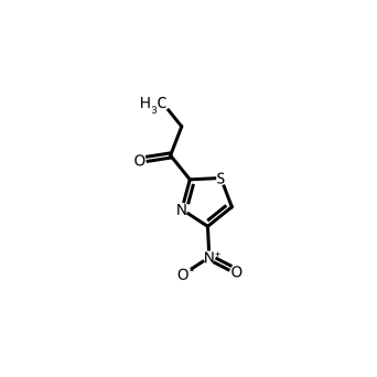 CCC(=O)c1nc([N+](=O)[O-])cs1